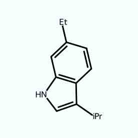 CCc1ccc2c(C(C)C)c[nH]c2c1